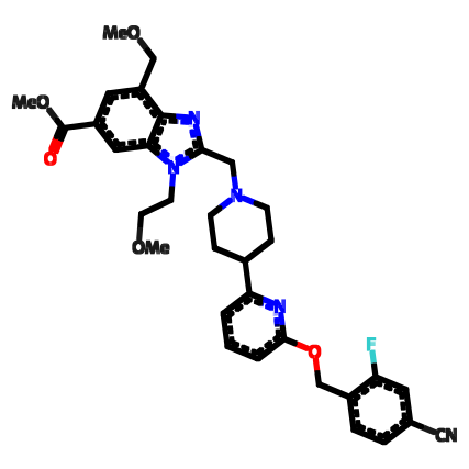 COCCn1c(CN2CCC(c3cccc(OCc4ccc(C#N)cc4F)n3)CC2)nc2c(COC)cc(C(=O)OC)cc21